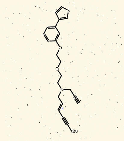 C#CCN(C/C=C/C#CC(C)(C)C)CCOCCOc1cccc(-c2ccsc2)c1